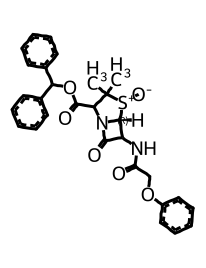 CC1(C)C(C(=O)OC(c2ccccc2)c2ccccc2)N2C(=O)C(NC(=O)COc3ccccc3)[C@H]2[S+]1[O-]